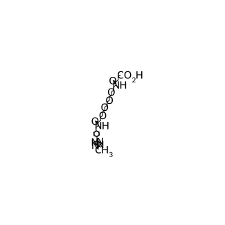 Cc1nnc(-c2ccc(CNC(=O)CCOCCOCCOCCOCCNC(=O)CCC(=O)O)cc2)nn1